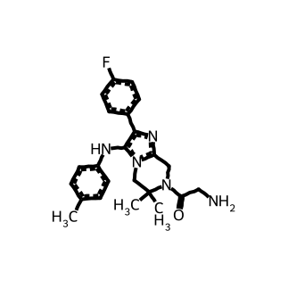 Cc1ccc(Nc2c(-c3ccc(F)cc3)nc3n2CC(C)(C)N(C(=O)CN)C3)cc1